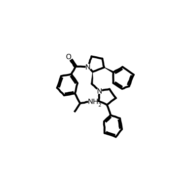 CC(N)c1cccc(C(=O)N2CC[C@@H](c3ccccc3)[C@H]2CN2CCC(c3ccccc3)C2)c1